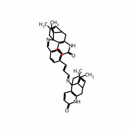 C/C=C1\C2C=C(C)CC1(/N=C\c1ccc(/C=C/C=N/C34CC(C)=CC(Cc5[nH]c(=O)ccc53)/C4=C\C)cc1)c1ccc(=O)[nH]c1C2